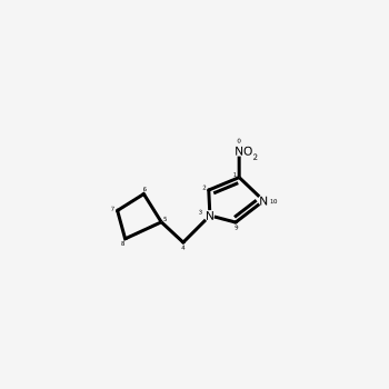 O=[N+]([O-])c1cn(CC2CCC2)cn1